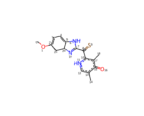 COC1=CC=C2NC(C(=S)c3[nH]cc(C)c(=O)c3C)=NC2C1